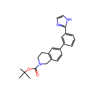 CC(C)(C)OC(=O)N1CCc2cc(-c3cccc(-c4ncc[nH]4)c3)ccc2C1